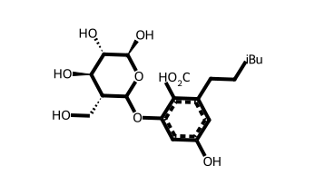 CCC(C)CCc1cc(O)cc(OC2O[C@H](O)[C@@H](O)[C@H](O)[C@H]2CO)c1C(=O)O